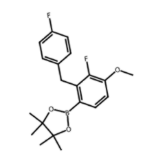 COc1ccc(B2OC(C)(C)C(C)(C)O2)c(Cc2ccc(F)cc2)c1F